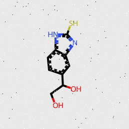 OCC(O)c1ccc2[nH]c(S)nc2c1